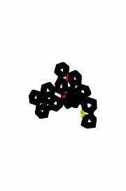 c1ccc(C2(c3ccccc3)c3ccccc3-c3ccc(N(c4ccc(-c5cccc6c5sc5ccccc56)cc4)c4ccc5c(oc6ccccc65)c4C4(c5ccccc5)c5ccccc5-c5ccccc54)cc32)cc1